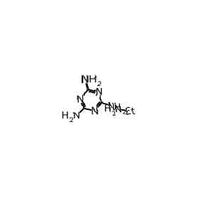 CCN.Nc1nc(N)nc(N)n1